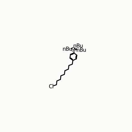 CCC[CH2][Sn]([CH2]CCC)([CH2]CCC)[c]1ccc(CCCCCCCCCCl)cc1